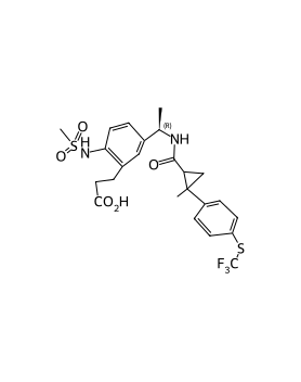 C[C@@H](NC(=O)C1CC1(C)c1ccc(SC(F)(F)F)cc1)c1ccc(NS(C)(=O)=O)c(CCC(=O)O)c1